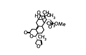 COC(=O)C[C@H]1C(C)(C)C(=O)[C@@H]2CC3=C4CC(=O)O[C@@H](C5C=COC5)[C@]4(C)CCC3[C@@]1(C)C2=O